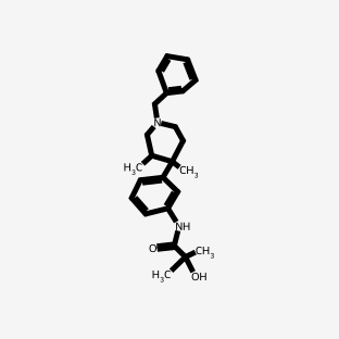 CC1CN(Cc2ccccc2)CCC1(C)c1cccc(NC(=O)C(C)(C)O)c1